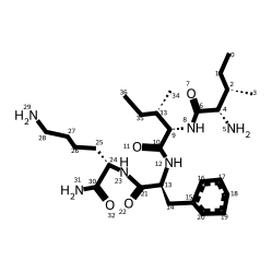 CC[C@H](C)[C@H](N)C(=O)N[C@H](C(=O)N[C@@H](Cc1ccccc1)C(=O)N[C@@H](CCCCN)C(N)=O)[C@@H](C)CC